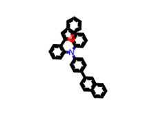 c1ccc(N(c2ccc(-c3ccc4ccccc4c3)cc2)c2ccccc2-c2cc3ccccc3o2)cc1